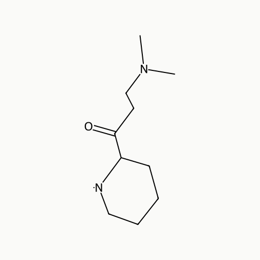 CN(C)CCC(=O)C1CCCC[N]1